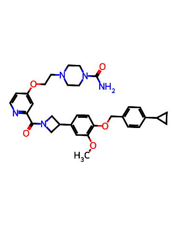 COc1cc(C2CN(C(=O)c3cc(OCCN4CCN(C(N)=O)CC4)ccn3)C2)ccc1OCc1ccc(C2CC2)cc1